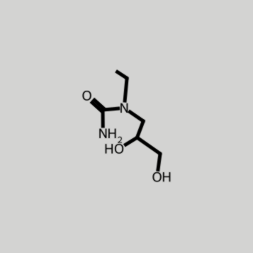 CCN(CC(O)CO)C(N)=O